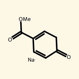 COC(=O)C1=CCC(=O)C=C1.[Na]